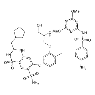 COc1cc(NS(=O)(=O)c2ccc(N)cc2)nc(OC)n1.Cc1ccccc1OCC(O)CO.NS(=O)(=O)c1cc2c(cc1Cl)NC(CC1CCCC1)NS2(=O)=O